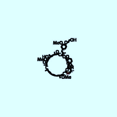 CO[C@H]1C[C@@H]2CC[C@@H](C)C(=O)C(O)(O2)C(=O)N2CCCC[C@H]2C(=O)O[C@H]([C@H](C)C[C@@H]2CC[C@@H](OCCO)[C@H](OC)C2)CC(=O)[C@H](C)C=C(C)[C@@H](O)[C@@H](OC)C(=O)[C@H](C)C[C@H](C)C=CC=CC=C1C